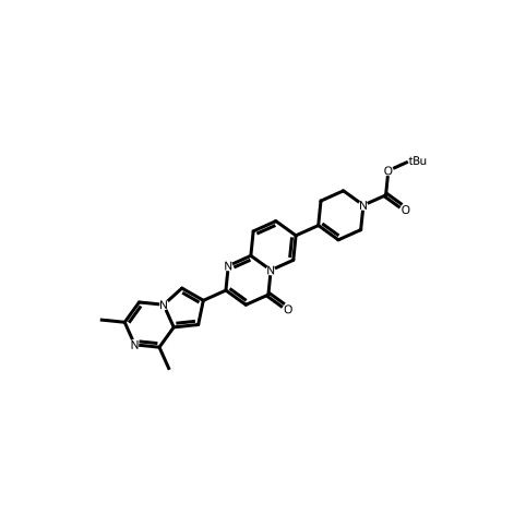 Cc1cn2cc(-c3cc(=O)n4cc(C5=CCN(C(=O)OC(C)(C)C)CC5)ccc4n3)cc2c(C)n1